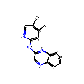 Cc1cc(Nc2cnc3ccccc3n2)ncc1[N+](=O)[O-]